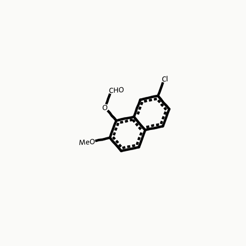 COc1ccc2ccc(Cl)cc2c1OC=O